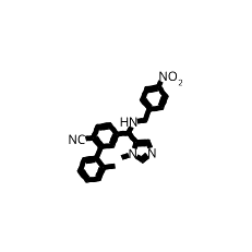 Cc1ccccc1-c1cc(C(NCc2ccc([N+](=O)[O-])cc2)c2cncn2C)ccc1C#N